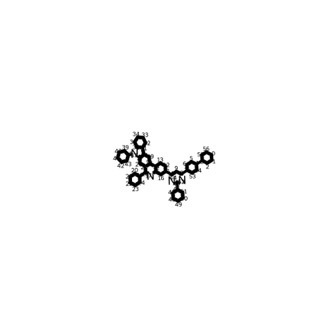 c1ccc(-c2ccc(-c3cc(-c4ccc5c(c4)nc(-c4ccccc4)c4cc6c(cc45)c4ccccc4n6-c4ccccc4)nc(-c4ccccc4)n3)cc2)cc1